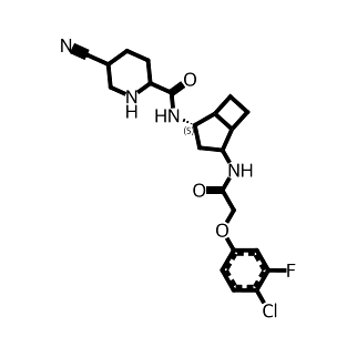 N#CC1CCC(C(=O)N[C@H]2CC(NC(=O)COc3ccc(Cl)c(F)c3)C3CCC32)NC1